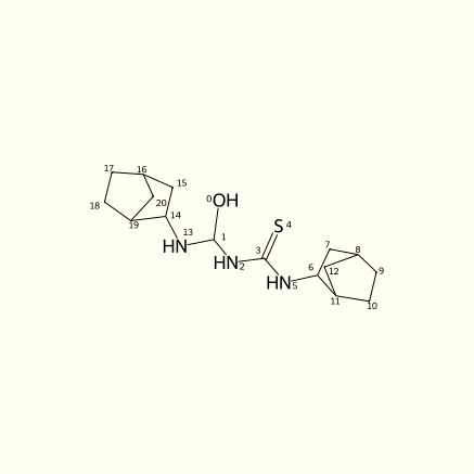 OC(NC(=S)NC1CC2CCC1C2)NC1CC2CCC1C2